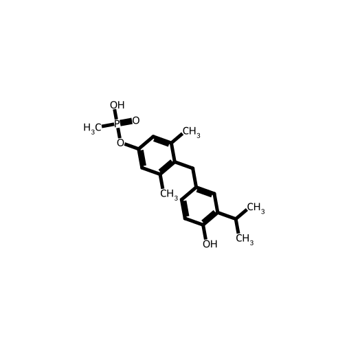 Cc1cc(OP(C)(=O)O)cc(C)c1Cc1ccc(O)c(C(C)C)c1